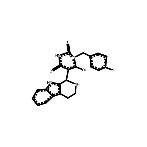 O=c1[nH]c(=S)n(Cc2ccc(F)cc2)c(O)c1C1NCCc2c1[nH]c1ccccc21